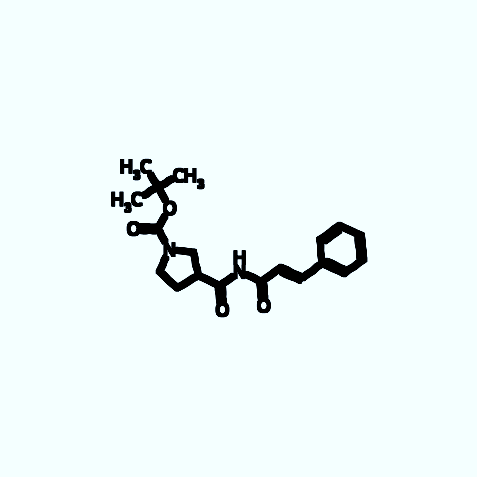 CC(C)(C)OC(=O)N1CCC(C(=O)NC(=O)/C=C/c2ccccc2)C1